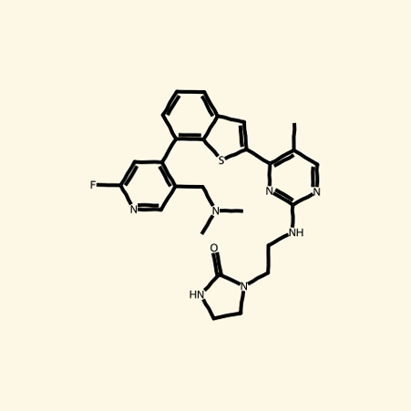 Cc1cnc(NCCN2CCNC2=O)nc1-c1cc2cccc(-c3cc(F)ncc3CN(C)C)c2s1